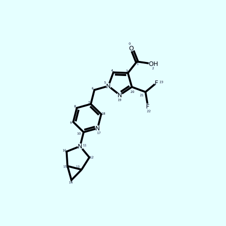 O=C(O)c1cn(Cc2ccc(N3CC4CC4C3)nc2)nc1C(F)F